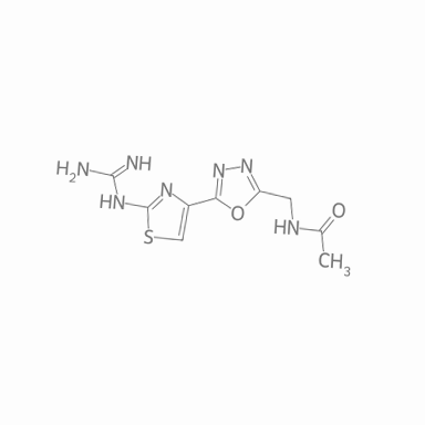 CC(=O)NCc1nnc(-c2csc(NC(=N)N)n2)o1